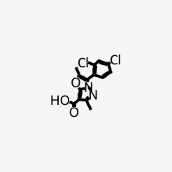 Cc1nn2c(-c3ccc(Cl)cc3Cl)c(C)oc2c1C(=O)O